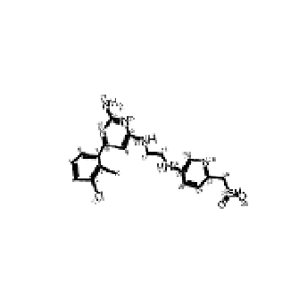 Cc1c(Cl)cccc1-c1cc(NCCNc2ccc(C[SH](=O)=O)nc2)nc(N)n1